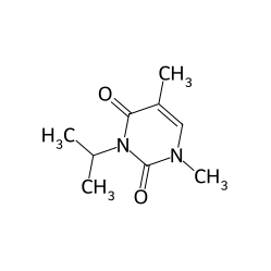 Cc1cn(C)c(=O)n(C(C)C)c1=O